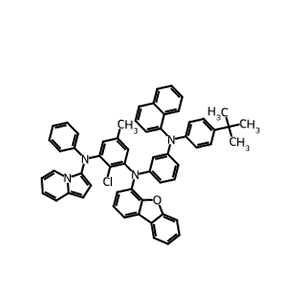 Cc1cc(N(c2cccc(N(c3ccc(C(C)(C)C)cc3)c3cccc4ccccc34)c2)c2cccc3c2oc2ccccc23)c(Cl)c(N(c2ccccc2)c2ccc3ccccn23)c1